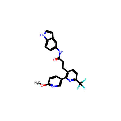 COc1ccc(-c2nc(C(F)(F)F)ccc2CCC(=O)Nc2ccc3[nH]ccc3c2)cn1